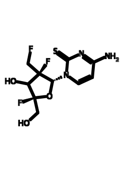 Nc1ccn([C@@H]2O[C@](F)(CO)C(O)[C@]2(F)CF)c(=S)n1